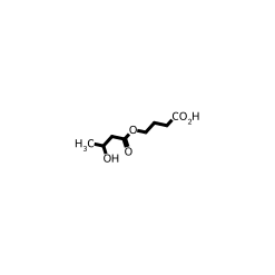 CC(O)CC(=O)OCCCC(=O)O